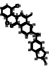 Cc1nn(-c2c(Cl)cccc2Cl)c(=O)c2cnc(Nc3ccc4c(c3)CN(C)C4)nc12